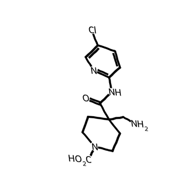 NCC1(C(=O)Nc2ccc(Cl)cn2)CCN(C(=O)O)CC1